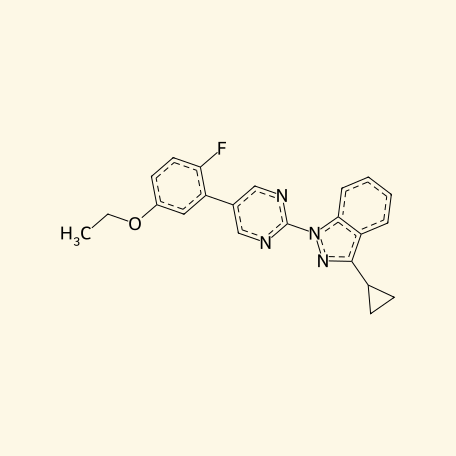 CCOc1ccc(F)c(-c2cnc(-n3nc(C4CC4)c4ccccc43)nc2)c1